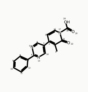 Cc1c(-c2cnc(-c3ccccc3)nc2)ccn(C(=O)O)c1=O